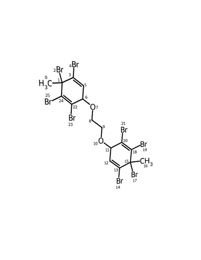 CC1(Br)C(Br)=CC(OCCOC2C=C(Br)C(C)(Br)C(Br)=C2Br)C(Br)=C1Br